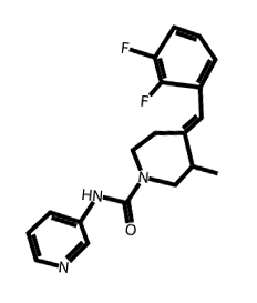 CC1CN(C(=O)Nc2cccnc2)CCC1=Cc1cccc(F)c1F